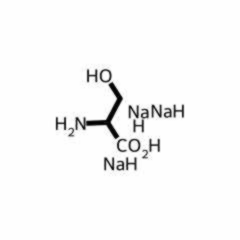 NC(CO)C(=O)O.[NaH].[NaH].[NaH]